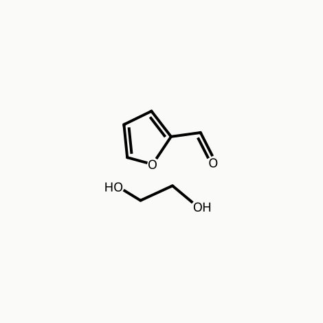 O=Cc1ccco1.OCCO